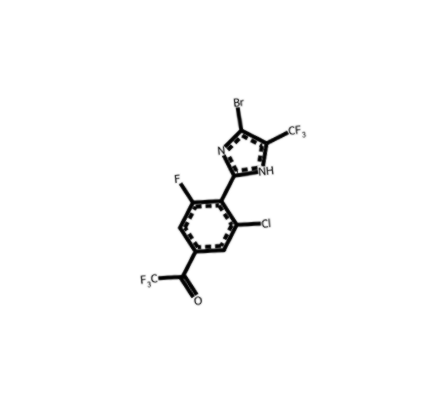 O=C(c1cc(F)c(-c2nc(Br)c(C(F)(F)F)[nH]2)c(Cl)c1)C(F)(F)F